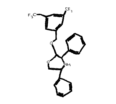 FC(F)(F)c1cc(COC2OCC(c3ccccc3)NC2c2ccccc2)cc(C(F)(F)F)c1